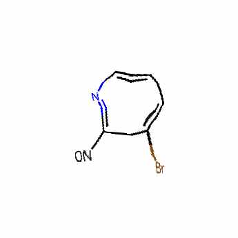 O=Nc1ncccc1Br